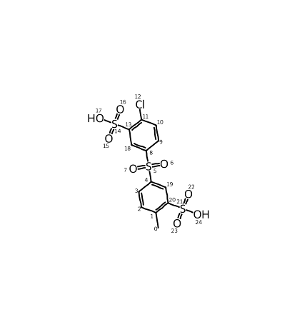 Cc1ccc(S(=O)(=O)c2ccc(Cl)c(S(=O)(=O)O)c2)cc1S(=O)(=O)O